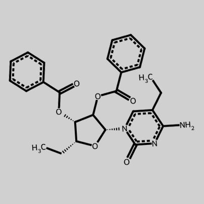 CCc1cn([C@@H]2O[C@H](CC)[C@H](OC(=O)c3ccccc3)C2OC(=O)c2ccccc2)c(=O)nc1N